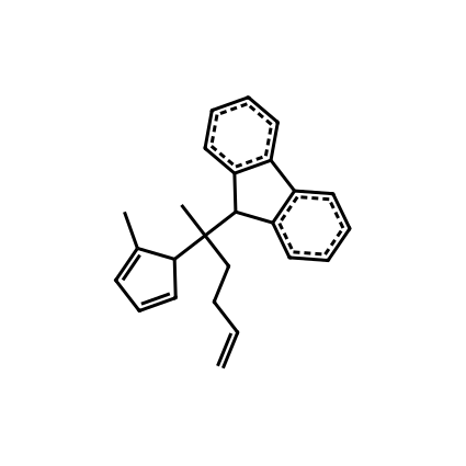 C=CCCC(C)(C1C=CC=C1C)C1c2ccccc2-c2ccccc21